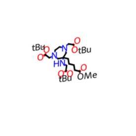 COC(=O)CCCCC1(NCC(=O)OC(C)(C)C)CN(CC(=O)OC(C)(C)C)CCN(CC(=O)OC(C)(C)C)C1